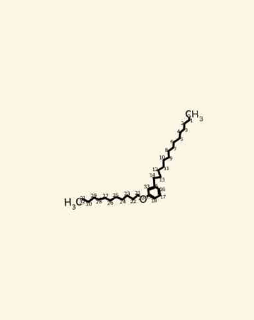 CCCCCCCCCCCCCCCc1cccc(OCCCCCCCCCCCC)c1